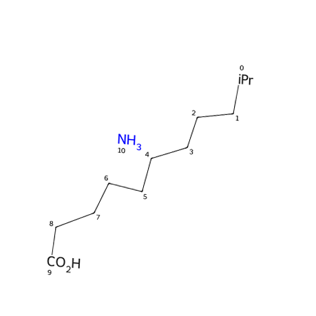 CC(C)CCCCCCCCC(=O)O.N